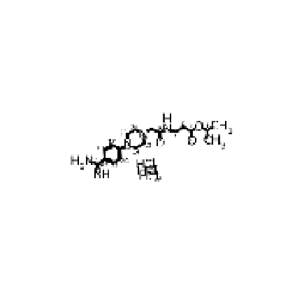 CC(C)OC(=O)CCNC(=O)CN1CCN(c2ccc(C(=N)N)cc2)CC1.Cl.Cl.Cl